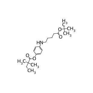 CCC(C)(C)C(=O)Oc1ccc(NCCCCC(=O)OC(C)(C)C)cc1